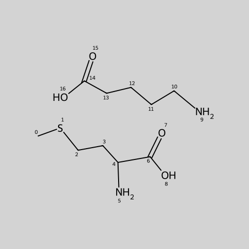 CSCCC(N)C(=O)O.NCCCCC(=O)O